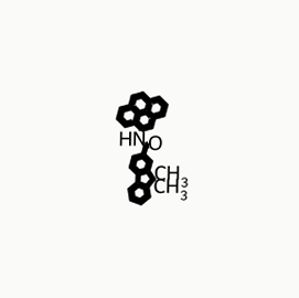 CC1(C)c2ccccc2-c2ccc(C(=O)Nc3cc4cccc5ccc6cccc3c6c54)cc21